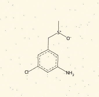 C[S+]([O-])Cc1cc(N)cc(Cl)c1